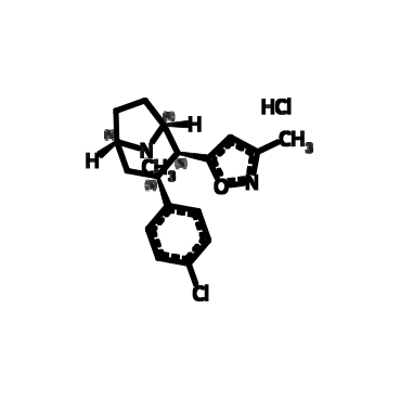 Cc1cc([C@H]2[C@@H](c3ccc(Cl)cc3)C[C@@H]3CC[C@H]2N3C)on1.Cl